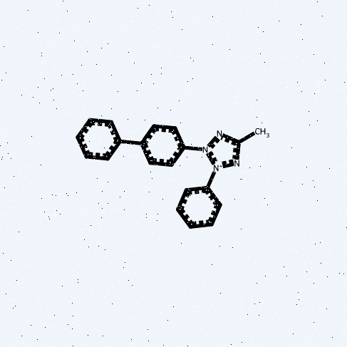 Cc1nn(-c2ccc(-c3ccccc3)cc2)[n+](-c2ccccc2)n1